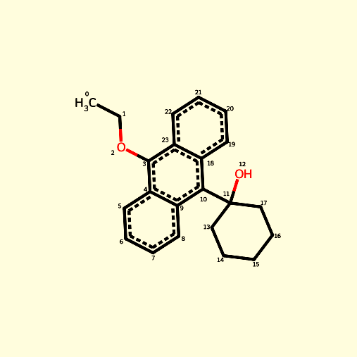 CCOc1c2ccccc2c(C2(O)CCCCC2)c2ccccc12